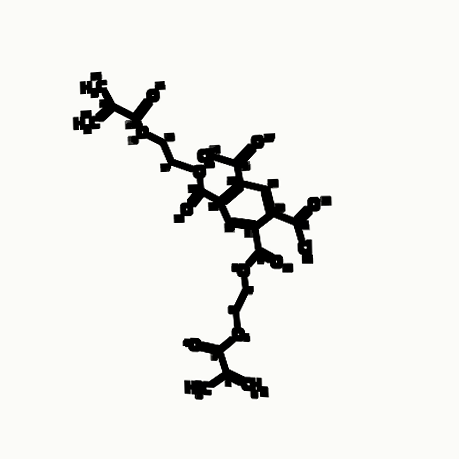 C=C(C)C(=O)OCCOC(=O)c1cc(C(=O)OCCOC(=O)C(=C)C)c(C(=O)Cl)cc1C(=O)Cl